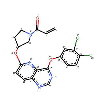 C=CC(=O)N1CCC(Oc2ccc3ncnc(Oc4ccc(Cl)c(Cl)c4)c3n2)C1